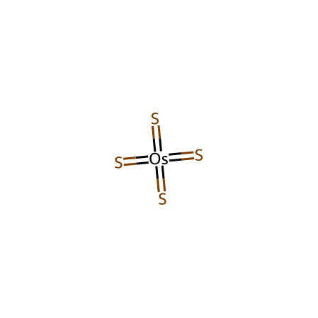 [S]=[Os](=[S])(=[S])=[S]